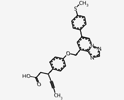 CC#CC(CC(=O)O)c1ccc(OCc2cc(-c3ccc(SC)cc3)cn3ncnc23)cc1